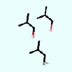 CC(C)C[O-].CC(C)C[O-].CC(C)[CH2][Al+2]